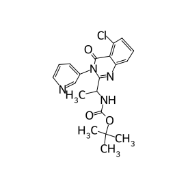 CC(NC(=O)OC(C)(C)C)c1nc2cccc(Cl)c2c(=O)n1-c1cccnc1